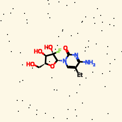 CCc1cn([C@@H]2O[C@H](CO)[C@@H](O)[C@@]2(O)F)c(=O)nc1N